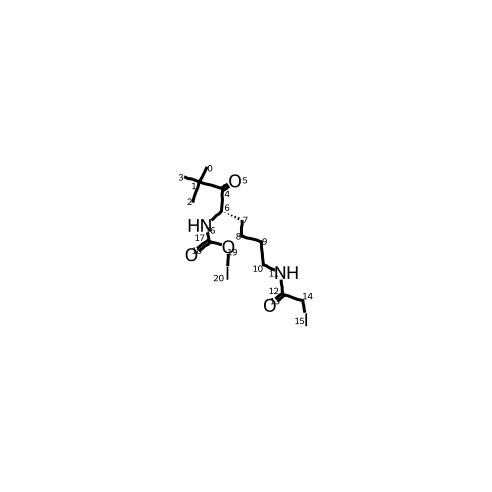 CC(C)(C)C(=O)[C@H](CCCCNC(=O)CI)NC(=O)OI